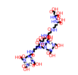 O=C(O)CC[C@H](NC(=O)N[C@@H](CCCCNC(=O)CCC(=O)NCCCC(NC(=O)C(CCCCNC(=O)CN1CCN(CC(=O)O)CCN(CC(=O)O)CCN(CC(=O)O)CC1)NC(=O)CN1CCN(CC(=O)O)CCN(CC(=O)O)CCN(CC(=O)O)CC1)C(=O)O)C(=O)O)C(=O)O